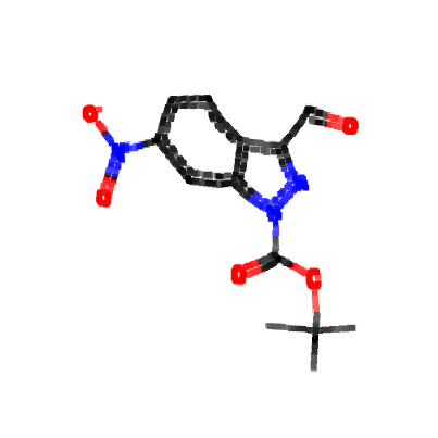 CC(C)(C)OC(=O)n1nc(C=O)c2ccc([N+](=O)[O-])cc21